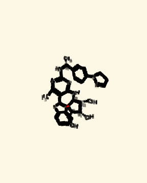 Cc1nc(N[C@H](C)c2ccc(N3CCC=N3)cc2)nc(N[C@@H]2C[C@H](CO)[C@@H](O)[C@H]2O)c1-c1nc2ccccc2s1